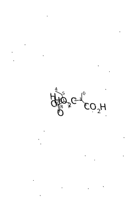 CC(C(=O)O)C(=O)O.CCC(C)C(=O)O